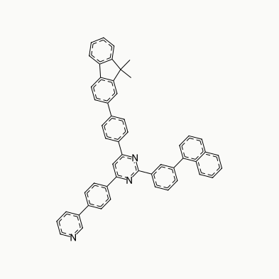 CC1(C)c2ccccc2-c2ccc(-c3ccc(-c4cc(-c5ccc(-c6cccnc6)cc5)nc(-c5cccc(-c6cccc7ccccc67)c5)n4)cc3)cc21